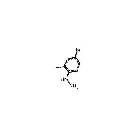 Cc1cc(Br)ccc1NN